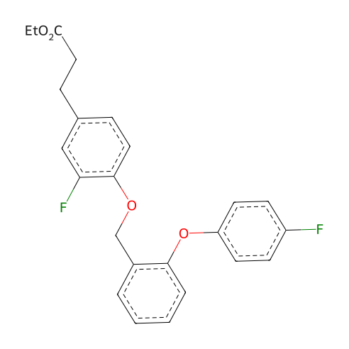 CCOC(=O)CCc1ccc(OCc2ccccc2Oc2ccc(F)cc2)c(F)c1